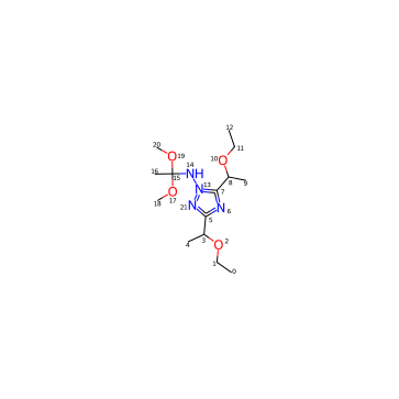 CCOC(C)c1nc(C(C)OCC)n(NC(C)(OC)OC)n1